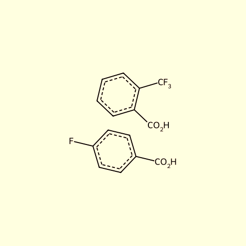 O=C(O)c1ccc(F)cc1.O=C(O)c1ccccc1C(F)(F)F